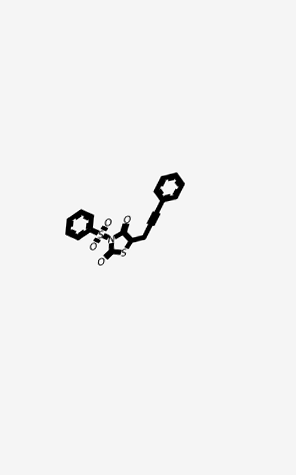 O=C1SC(CC#Cc2ccccc2)C(=O)N1S(=O)(=O)c1ccccc1